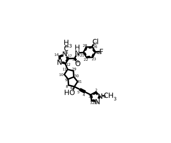 Cn1cc(C#CC2(O)CC3CC(c4ncn(C)c4C(=O)Nc4ccc(F)c(Cl)c4)CC3C2)cn1